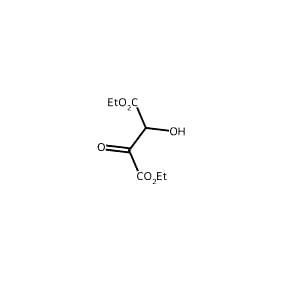 CCOC(=O)C(=O)C(O)C(=O)OCC